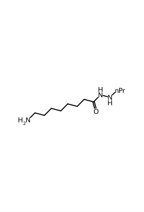 CCCNNC(=O)CCCCCCCN